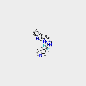 FC(F)(C1=CC2C=CC=NC2C=C1)c1nnc2ccc(-c3cnc4ccccc4c3)nn12